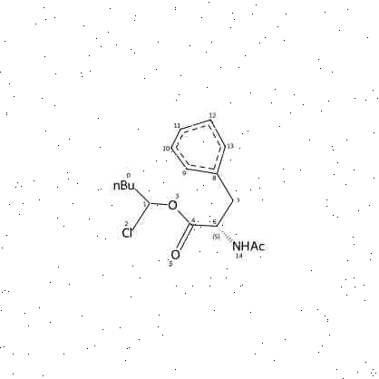 CCCCC(Cl)OC(=O)[C@H](Cc1ccccc1)NC(C)=O